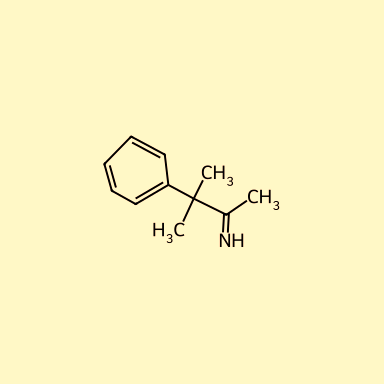 CC(=N)C(C)(C)c1ccccc1